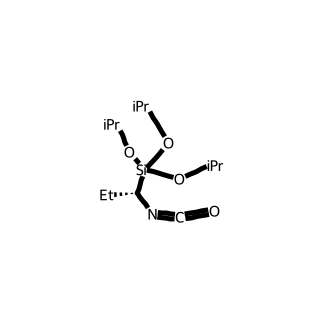 CC[C@@H](N=C=O)[Si](OC(C)C)(OC(C)C)OC(C)C